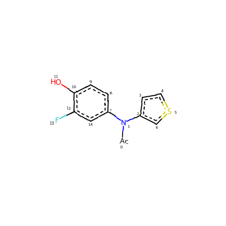 CC(=O)N(c1ccsc1)c1ccc(O)c(F)c1